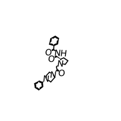 O=C(NC(=O)[C@H]1CCCN1CC(=O)N1CCN(c2ccccc2)CC1)c1ccccc1